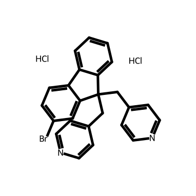 Brc1ccc2c(c1)C(Cc1ccncc1)(Cc1ccncc1)c1ccccc1-2.Cl.Cl